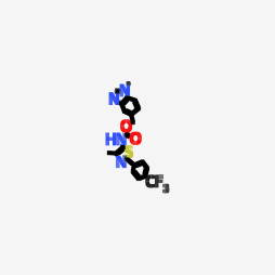 Cc1nc(-c2ccc(C(F)(F)F)cc2)sc1NC(=O)OCc1ccc2c(c1)ncn2C